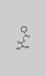 CCCN(CCC)C(=O)OCC(=O)c1ccccc1